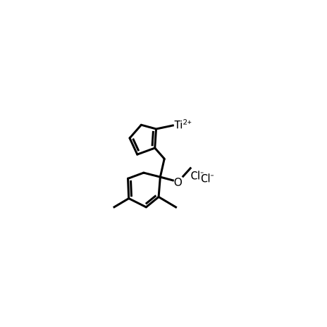 COC1(CC2=[C]([Ti+2])CC=C2)CC=C(C)C=C1C.[Cl-].[Cl-]